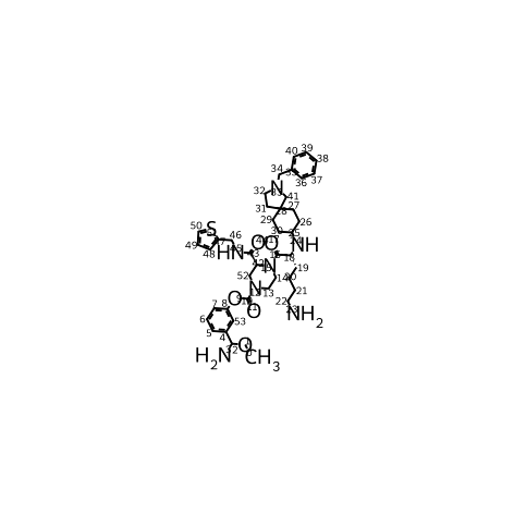 COC(N)c1cccc(OC(=O)N2CCN(C(=O)[C@@H](CCCCN)NC3CCC4(CC3)CCN(Cc3ccccc3)C4)[C@H](C(=O)NCc3cccs3)C2)c1